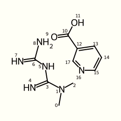 CN(C)C(=N)NC(=N)N.O=C(O)c1cccnc1